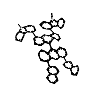 Cp1c2ccccc2c2c(-c3cccc4c(-c5c6cccc(-c7ccc8ccccc8c7)c6cc6c(-c7ccc8ccccc8c7)cccc56)c5cccc(-c6cccc7c6c6ccccc6p7C)c5cc34)cccc21